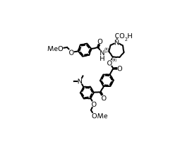 COCOc1ccc(C(=O)N[C@@H]2CN(C(=O)O)CCC[C@H]2OC(=O)c2ccc(C(=O)c3cc(N(C)C)ccc3OCOC)cc2)cc1